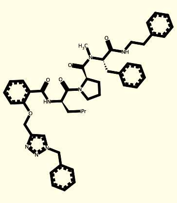 CC(C)C[C@@H](NC(=O)c1ccccc1OCc1cn(Cc2ccccc2)nn1)C(=O)N1CCC[C@@H]1C(=O)N(C)[C@@H](Cc1ccccc1)C(=O)NCCc1ccccc1